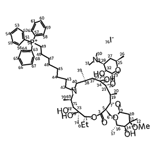 CC[C@H]1OC(=O)[C@H](C)[C@@H](O[C@H]2C[C@@](C)(OC)[C@@H](O)[C@H](C)O2)[C@H](C)[C@@H](O[C@@H]2O[C@H](C)C[C@H](N(C)C)[C@H]2O)[C@](C)(O)C[C@@H](C)CN(CCCCCCCC[P+](c2ccccc2)(c2ccccc2)c2ccccc2)[C@H](C)[C@@H](O)[C@]1(C)O.[I-]